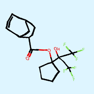 O=C(OC1(C(O)(C(F)(F)F)C(F)(F)F)CCCC1)C1CC2C=CC1C2